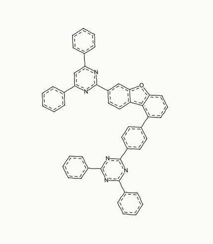 c1ccc(-c2cc(-c3ccccc3)nc(-c3ccc4c(c3)oc3cccc(-c5ccc(-c6nc(-c7ccccc7)nc(-c7ccccc7)n6)cc5)c34)n2)cc1